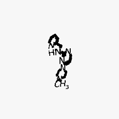 CN1CCN(c2ccnc(NCc3ccccn3)n2)CC1